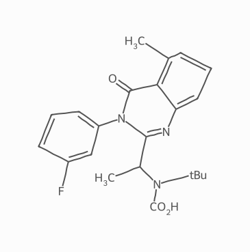 Cc1cccc2nc(C(C)N(C(=O)O)C(C)(C)C)n(-c3cccc(F)c3)c(=O)c12